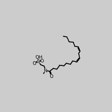 CCCCC/C=C\C/C=C\CCCCCCCC(=O)N(C)CCS(=O)(=O)O